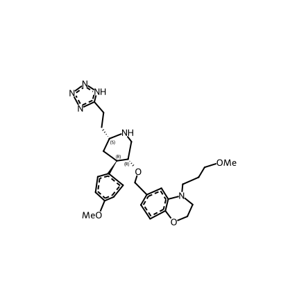 COCCCN1CCOc2ccc(CO[C@H]3CN[C@@H](CCc4nnn[nH]4)C[C@@H]3c3ccc(OC)cc3)cc21